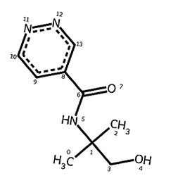 CC(C)(CO)NC(=O)c1ccnnc1